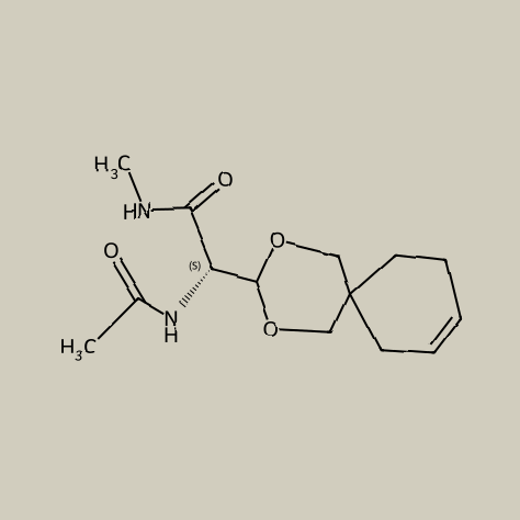 CNC(=O)[C@@H](NC(C)=O)C1OCC2(CC=CCC2)CO1